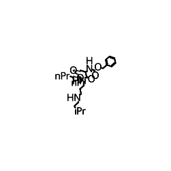 CCCC(CCC)S(=O)(=O)CC(NC(=O)OCc1ccccc1)C(=O)NCCCNCCC(C)C